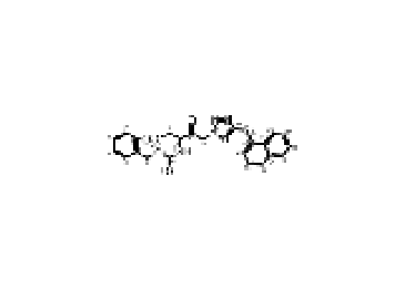 O=C(O)CC(NC(=O)OCc1ccccc1)C(=O)Cn1nnc(Sc2cccc3ccccc23)n1